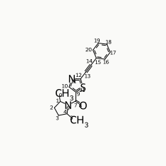 CC1CCC(C)N1C(=O)c1cnc(C#Cc2ccccc2)s1